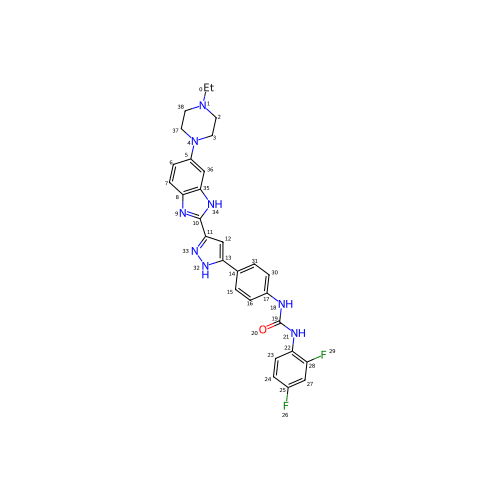 CCN1CCN(c2ccc3nc(-c4cc(-c5ccc(NC(=O)Nc6ccc(F)cc6F)cc5)[nH]n4)[nH]c3c2)CC1